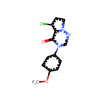 O=c1c2c(Cl)ccn2ncn1-c1ccc(OC(F)(F)F)cc1